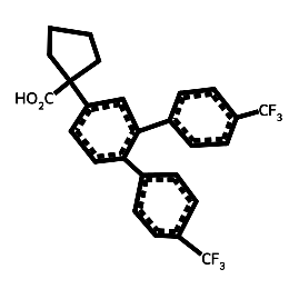 O=C(O)C1(c2ccc(-c3ccc(C(F)(F)F)cc3)c(-c3ccc(C(F)(F)F)cc3)c2)CCCC1